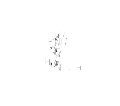 CC[C@@H]1Cc2ccccc2[C@@H]1Nc1ncnc2c1ccn2[C@@H]1C[C@@H](CNS(=O)(=O)O)[C@@H](O)C1